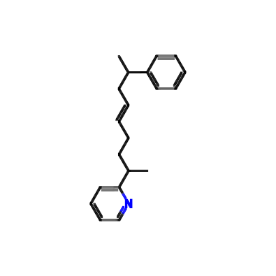 CC(C/C=C/CCC(C)c1ccccn1)c1ccccc1